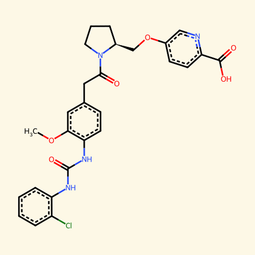 COc1cc(CC(=O)N2CCC[C@H]2COc2ccc(C(=O)O)nc2)ccc1NC(=O)Nc1ccccc1Cl